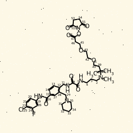 CN(CCCNC(=O)C(=O)NCc1ccc(C(=O)Nc2ccc(Cl)c(F)c2)cc1CN1CCCCC1)C(C)(C)CCOCCOCCC(=O)ON1C(=O)CCC1=O